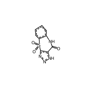 O=C1Nc2ccccc2S(=O)(=O)c2nn[nH]c21